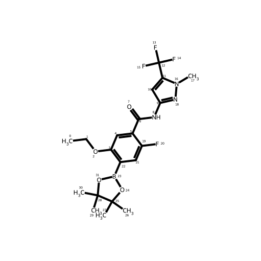 CCOc1cc(C(=O)Nc2cc(C(F)(F)F)n(C)n2)c(F)cc1B1OC(C)(C)C(C)(C)O1